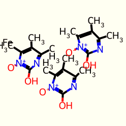 Cc1nc(O)[n+]([O-])c(C)c1C.Cc1nc(O)[n+]([O-])c(C)c1C.Cc1nc(O)[n+]([O-])c(C)c1C.[Fe]